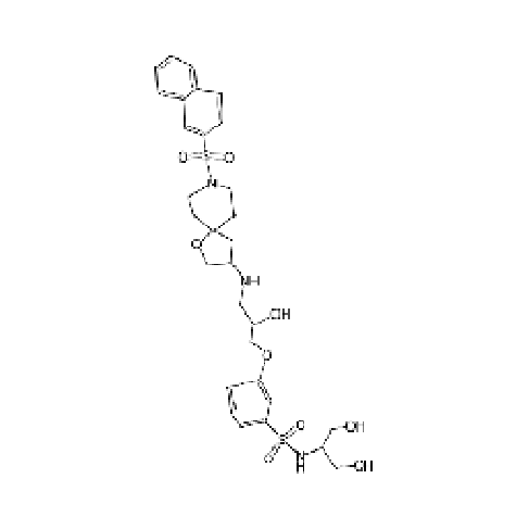 O=S(=O)(NC(CO)CO)c1cccc(OCC(O)CNC2COC3(CCN(S(=O)(=O)c4ccc5ccccc5c4)CC3)C2)c1